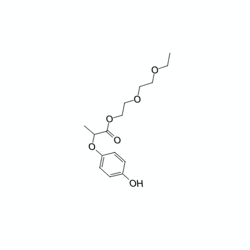 CCOCCOCCOC(=O)C(C)Oc1ccc(O)cc1